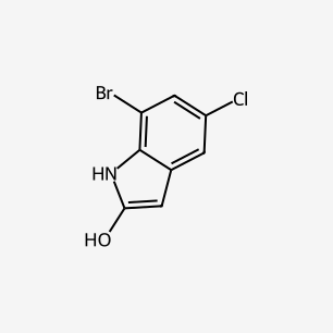 Oc1cc2cc(Cl)cc(Br)c2[nH]1